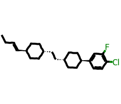 CC/C=C/[C@H]1CC[C@H](CC[C@H]2CC[C@H](c3ccc(Cl)c(F)c3)CC2)CC1